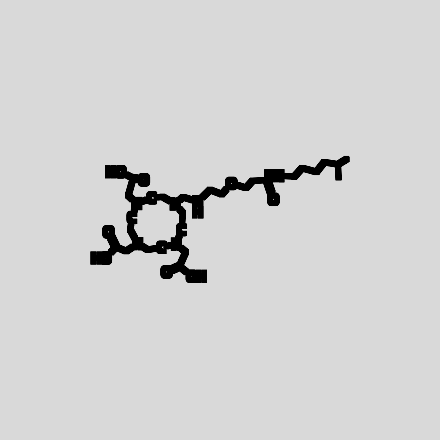 CC(C)CCCCNC(=O)CCOCCNCN1CCN(CC(=O)O)CCN(CC(=O)O)CCN(CC(=O)O)CC1